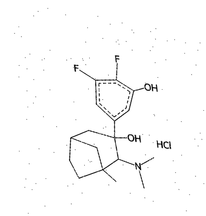 CN(C)C1C2(C)CCC(C2)CC1(O)c1cc(O)c(F)c(F)c1.Cl